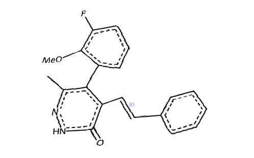 COc1c(F)cccc1-c1c(C)n[nH]c(=O)c1/C=C/c1ccccc1